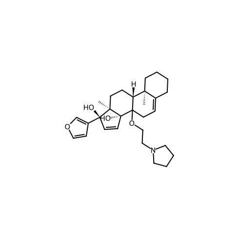 C[C@]12CC[C@H]3C(OCCN4CCCC4)(CC=C4CCCC[C@@]43C)[C@@]1(O)C=C[C@]2(O)c1ccoc1